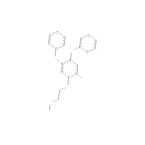 CCOCCOc1cc(Oc2ccccc2)c(Oc2ccccc2)cc1C=O